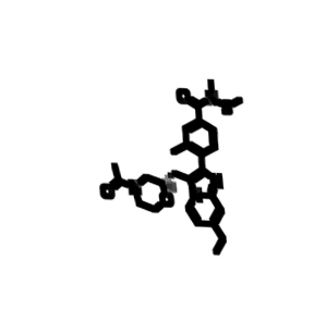 CCc1ccn2c(C[C@H]3CN(C(C)=O)CCO3)c(-c3ccc(C(=O)N(C)SC)cc3C)nc2c1